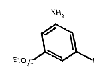 CCOC(=O)c1cccc(I)c1.N